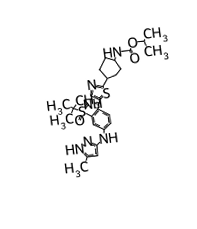 Cc1cc(Nc2ccc(-c3cnc(C4CCC(NC(=O)OC(C)C)CC4)s3)c(S(=N)(=O)C(C)(C)C)c2)n[nH]1